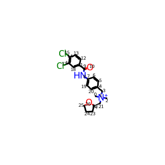 C[N+](C)(Cc1ccc(NC(=O)c2ccc(Cl)c(Cl)c2)cc1)C[C@H]1CCCO1